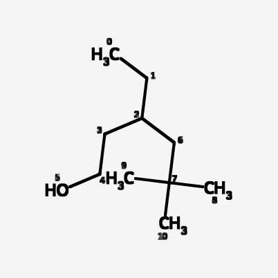 CCC(CCO)CC(C)(C)C